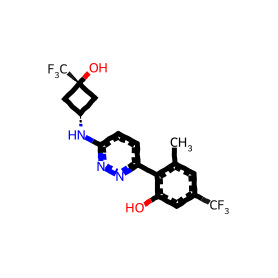 Cc1cc(C(F)(F)F)cc(O)c1-c1ccc(N[C@H]2C[C@](O)(C(F)(F)F)C2)nn1